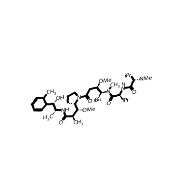 CC[C@H](C)[C@@H]([C@@H](CC(=O)N1CCC[C@H]1[C@H](OC)[C@@H](C)C(=O)N[C@H](C)[C@@H](O)C1C=CC=CC1C)OC)N(C)C(=O)[C@@H](NC(=O)[C@@H](NC)C(C)C)C(C)C